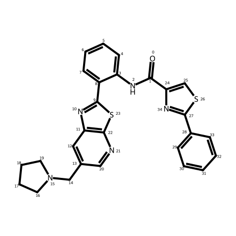 O=C(Nc1ccccc1-c1nc2cc(CN3CCCC3)cnc2s1)c1csc(-c2ccccc2)n1